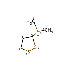 C[SH](C)C1CCSS1